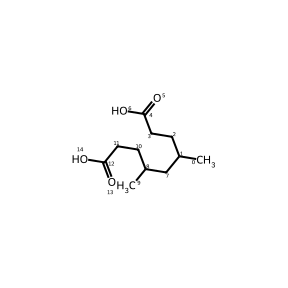 CC(CCC(=O)O)CC(C)CCC(=O)O